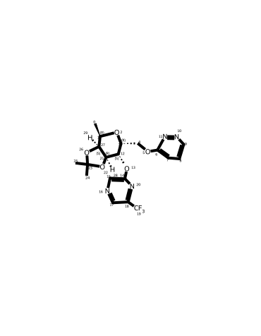 C[C@H]1O[C@H](COc2cccnn2)[C@H](Oc2cncc(C(F)(F)F)n2)[C@H]2OC(C)(C)O[C@H]21